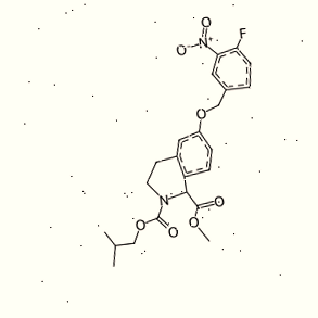 COC(=O)C1c2ccc(OCc3ccc(F)c([N+](=O)[O-])c3)cc2CCN1C(=O)OCC(C)C